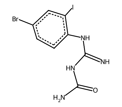 N=C(NC(N)=O)Nc1ccc(Br)cc1I